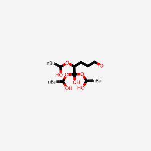 CCCCC(O)OC(CCC[O])C(O)(OC(O)CCCC)OC(O)CCCC